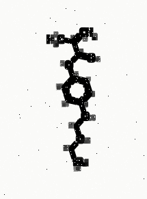 C=C(C)C(=O)Oc1ccc(OCOCC(C)(C)C)cc1